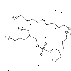 CCCCC(CC)COP(=O)([O-])OCC(CC)CCCC.CCCCCCCCC[CH2][Nd+]